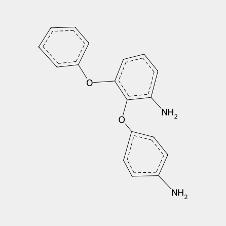 Nc1ccc(Oc2c(N)cccc2Oc2ccccc2)cc1